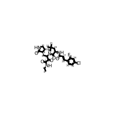 CCNC(=O)C(=O)C(C[C@@H]1CCNC1=O)NC(=O)C(CC(C)(C)C)NC(=O)/C=C/c1ccc(Cl)cc1F